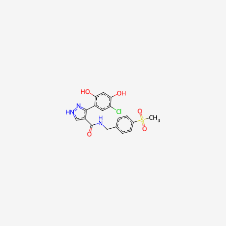 CS(=O)(=O)c1ccc(CNC(=O)c2c[nH]nc2-c2cc(Cl)c(O)cc2O)cc1